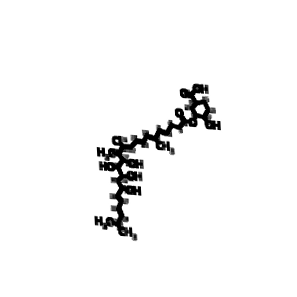 CC(/C=C/CCC(=O)OC1CC(C(=O)O)CCC1O)=C\C=C\C=C(/Cl)C(C)C(O)C(O)C(O)CC(O)/C=C/C=C/C(C)C